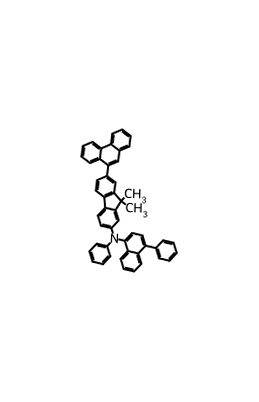 CC1(C)c2cc(-c3cc4ccccc4c4ccccc34)ccc2-c2ccc(N(c3ccccc3)c3ccc(-c4ccccc4)c4ccccc34)cc21